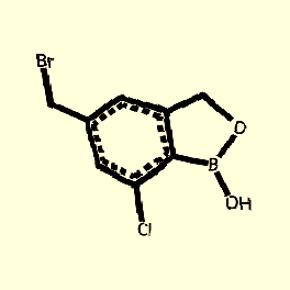 OB1OCc2cc(CBr)cc(Cl)c21